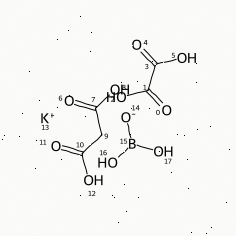 O=C(O)C(=O)O.O=C(O)CC(=O)O.[K+].[O-]B(O)O